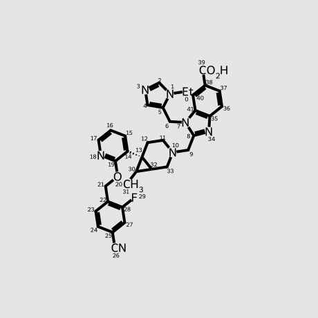 CCn1cncc1Cn1c(CN2CC[C@]3(c4cccnc4OCc4ccc(C#N)cc4F)C(C)C3C2)nc2ccc(C(=O)O)cc21